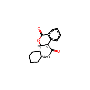 COC(=O)[C@@H]1c2ccccc2C(=O)O[C@H]1C1CCCCC1